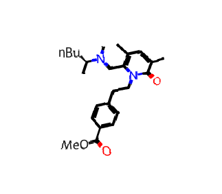 CCCC[C@H](C)N(C)Cc1c(C)cc(C)c(=O)n1CCc1ccc(C(=O)OC)cc1